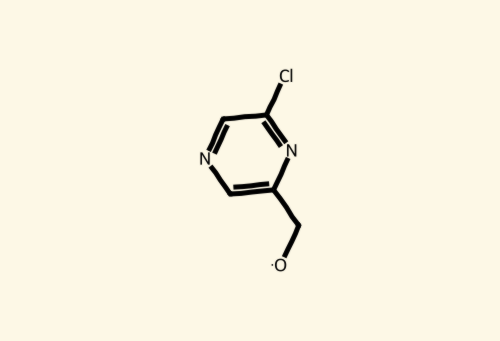 [O]Cc1cncc(Cl)n1